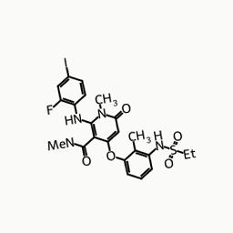 CCS(=O)(=O)Nc1cccc(Oc2cc(=O)n(C)c(Nc3ccc(I)cc3F)c2C(=O)NC)c1C